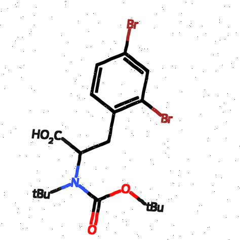 CC(C)(C)OC(=O)N(C(Cc1ccc(Br)cc1Br)C(=O)O)C(C)(C)C